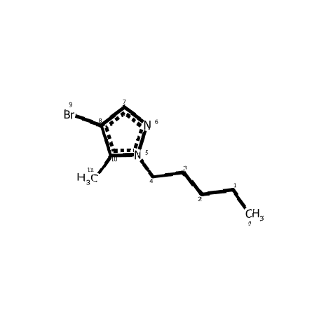 CCCCCn1ncc(Br)c1C